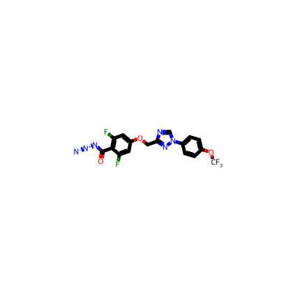 [N-]=[N+]=NC(=O)c1c(F)cc(OCc2ncn(-c3ccc(OC(F)(F)F)cc3)n2)cc1F